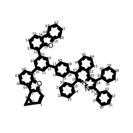 C1=CC2CC2c2c1oc1c(-c3cc(-c4ccc(-c5c(-c6ccccc6)n6nc(-c7ccccc7)c(-c7ccccc7)c6c6ccccc56)cc4)cc(-c4cccc5c4oc4ccccc45)c3)cccc21